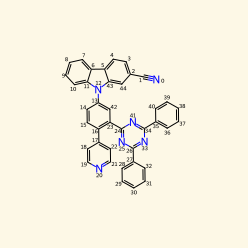 N#Cc1ccc2c3ccccc3n(-c3ccc(-c4ccncc4)c(-c4nc(-c5ccccc5)nc(-c5ccccc5)n4)c3)c2c1